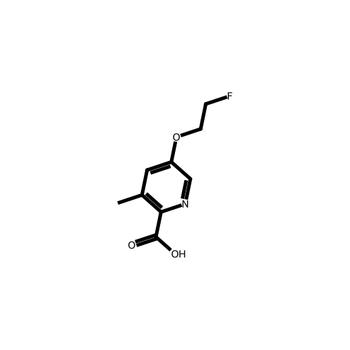 Cc1cc(OCCF)cnc1C(=O)O